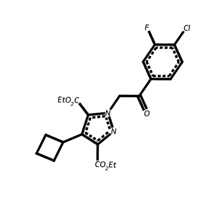 CCOC(=O)c1nn(CC(=O)c2ccc(Cl)c(F)c2)c(C(=O)OCC)c1C1CCC1